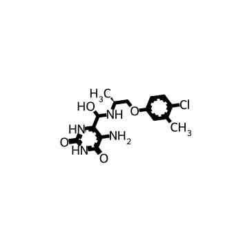 Cc1cc(OC[C@@H](C)NC(O)c2[nH]c(=O)[nH]c(=O)c2N)ccc1Cl